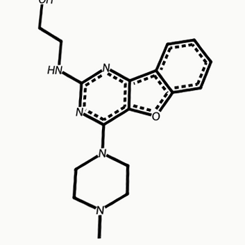 CN1CCN(c2nc(NCCO)nc3c2oc2ccccc23)CC1